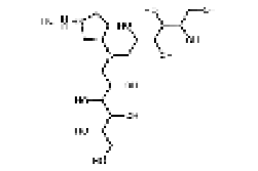 Cl.Cl.OCC(O)C(O)C(O)C(O)CN(CC(O)C(O)C(O)C(O)CO)[C@@H]1CCNC1